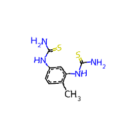 Cc1ccc(NC(N)=S)cc1NC(N)=S